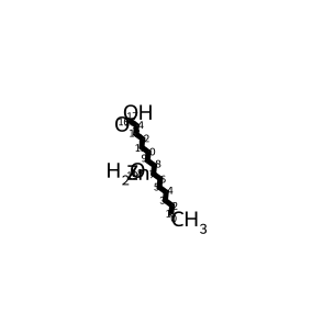 CCCCCCCCCCCCCCCC(=O)O.O.[Zn]